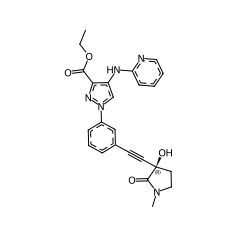 CCOC(=O)c1nn(-c2cccc(C#C[C@]3(O)CCN(C)C3=O)c2)cc1Nc1ccccn1